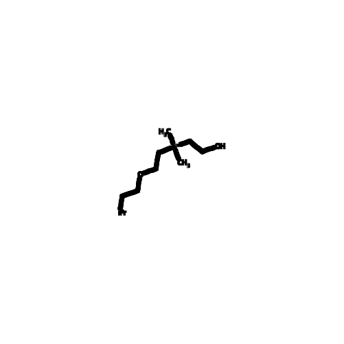 CC(C)CCOCC[N+](C)(C)CCO